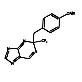 COc1ccc(CC2(C(F)(F)F)N=CC3=NC=NC3=N2)cc1